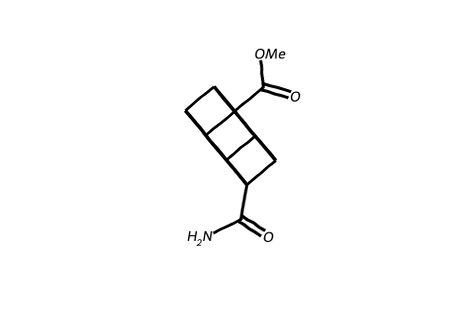 COC(=O)C12C3C4C1C1C2C3C41C(N)=O